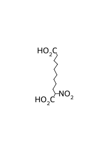 O=C(O)CCCCCCCCC(C(=O)O)[N+](=O)[O-]